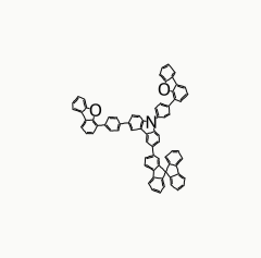 c1ccc2c(c1)-c1ccccc1C21c2ccccc2-c2ccc(-c3ccc4c(c3)c3cc(-c5ccc(-c6cccc7c6oc6ccccc67)cc5)ccc3n4-c3ccc(-c4cccc5c4oc4ccccc45)cc3)cc21